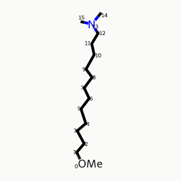 COCCCCCCCCCCCCN(C)C